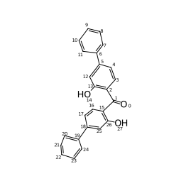 O=C(c1ccc(-c2ccccc2)cc1O)c1ccc(-c2ccccc2)cc1O